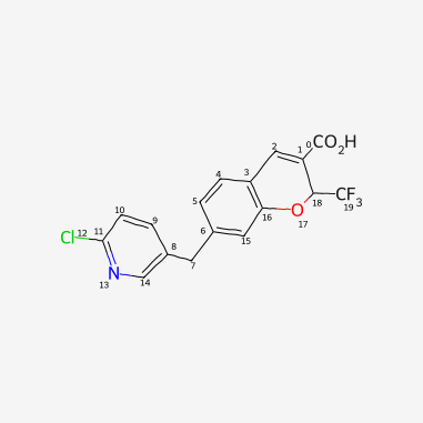 O=C(O)C1=Cc2ccc(Cc3ccc(Cl)nc3)cc2OC1C(F)(F)F